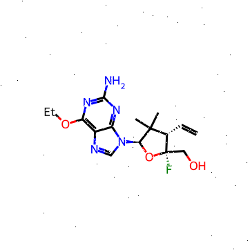 C=C[C@H]1C(C)(C)[C@H](n2cnc3c(OCC)nc(N)nc32)O[C@]1(F)CO